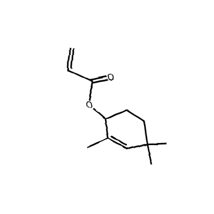 C=CC(=O)OC1CCC(C)(C)C=C1C